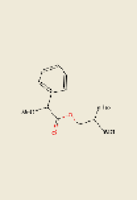 CCCCCCCCC(CCCCCC)COC(=O)C(OC)c1ccccc1